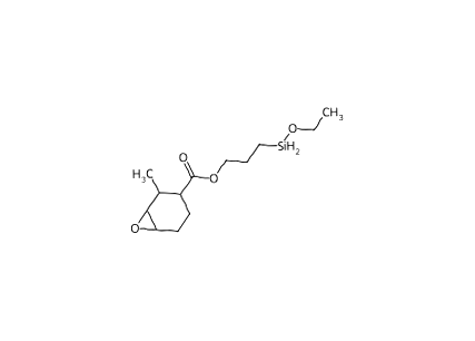 CCO[SiH2]CCCOC(=O)C1CCC2OC2C1C